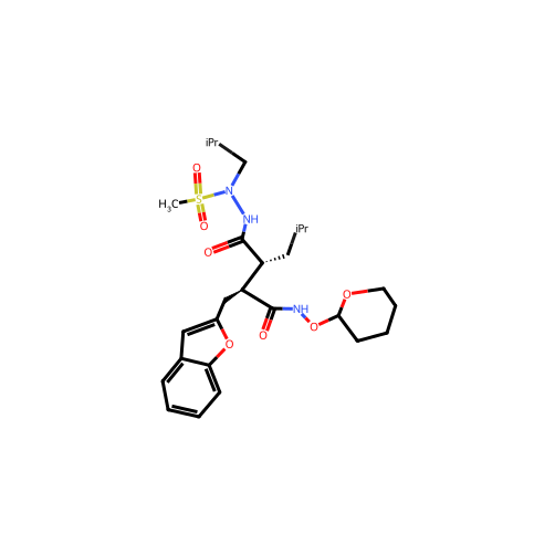 CC(C)C[C@@H](C(=O)NN(CC(C)C)S(C)(=O)=O)[C@H](Cc1cc2ccccc2o1)C(=O)NOC1CCCCO1